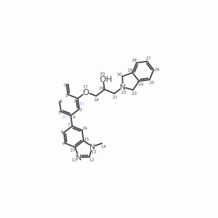 C=C/C(=C\C(=C/C)c1ccc2ncn(C)c2c1)OCC(O)CN1Cc2ccccc2C1